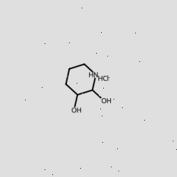 Cl.OC1CCCNC1O